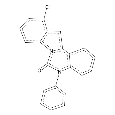 O=c1n(-c2ccccc2)c2ccccc2c2cc3c(Cl)cccc3n12